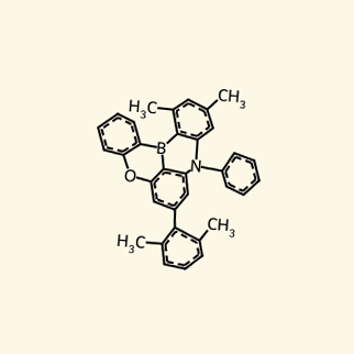 Cc1cc(C)c2c(c1)N(c1ccccc1)c1cc(-c3c(C)cccc3C)cc3c1B2c1ccccc1O3